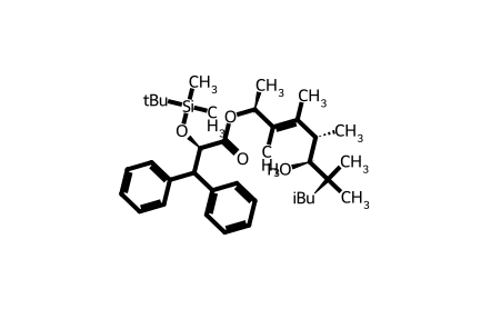 CC[C@H](C)C(C)(C)[C@@H](O)[C@@H](C)/C(C)=C(\C)[C@H](C)OC(=O)[C@H](O[Si](C)(C)C(C)(C)C)C(c1ccccc1)c1ccccc1